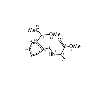 COC(=O)[C@@H](C)NCc1ccccc1C(OC)OC